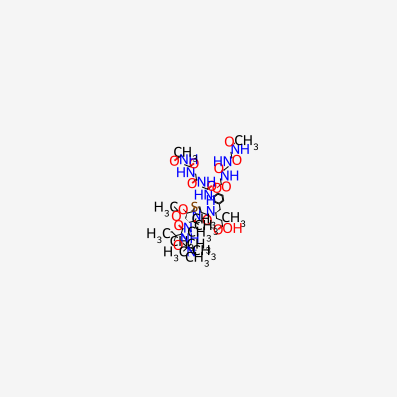 CC[C@H](C)[C@H](NC(=O)C(C)(C)N(C)C)C(=O)N(C)[C@H](C[C@@H](OC(C)=O)c1nc(C(=O)N[C@@H](Cc2ccc(OC(=O)CNC(=O)CNC(=O)CNC(C)=O)c(NC(=O)CNC(=O)CNC(=O)CNC(C)=O)c2)C[C@H](C)C(=O)O)cs1)C(C)C